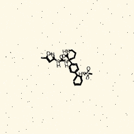 Cc1cc(NC(=O)N[C@@]2(c3ccc(-c4ccccc4NS(C)(=O)=O)cc3)CCCNC2=O)no1